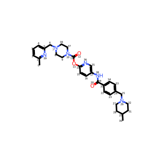 Cc1cccc(CN2CCN(C(=O)Oc3ccc(NC(=O)c4ccc(CN5CCC(C)CC5)cc4)cn3)CC2)n1